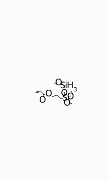 C=CC(=O)OCCC[Si](OC)(OC)OC.CO[SiH3]